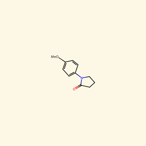 COc1ccc(N2CCCC2=O)cc1